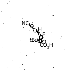 CC(C)(C)n1cc(C(=O)O)c(=O)c2cc(F)c(NCCOCCOCCC#N)cc21